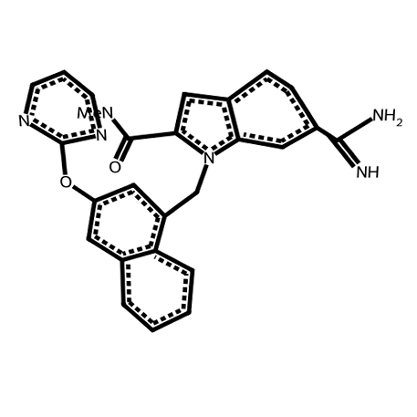 CNC(=O)c1cc2ccc(C(=N)N)cc2n1Cc1cc(Oc2ncccn2)cc2ccccc12